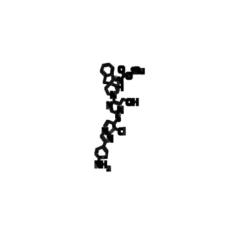 CC(C)(C)OC(=O)N[C@@H]1c2ccccc2CC12CCN(c1ncc(Sc3ccn4cc(-c5ccc(N)cc5)nc4c3Cl)nc1CO)CC2